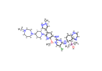 COc1nc(N2CCC(N3CCCN(C)CC3)CC2)c(-c2cnn(C)c2)cc1Nc1ncc(Br)c(Nc2ccc3nccnc3c2P(C)(C)=O)n1